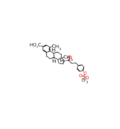 Cc1cc(C(=O)O)cc2c1[C@H]1CC[C@]3(C)[C@@H](C(=O)CCc4ccc(OS(=O)(=O)C(F)(F)F)cc4)CC[C@H]3[C@@H]1CC2